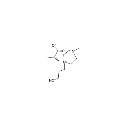 CC(=C[N+]1(CCCO)CCN(C)CC1)C(=O)[O-]